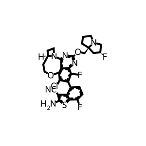 N#Cc1c(N)sc2c(F)ccc(-c3c(Cl)c4c5c(nc(OC[C@@]67CCCN6C[C@H](F)C7)nc5c3F)N3CC[C@@H]3CCO4)c12